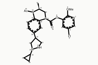 COc1ncc(Cl)cc1OC(=O)N1C[C@H](C)N(C(C)=O)c2ccc(C3CNN(C4CC4)C3)cc21